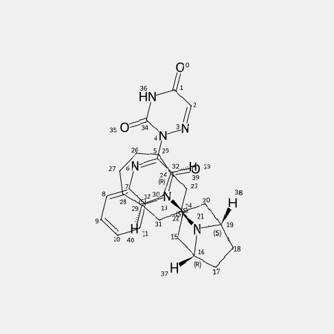 O=c1cnn(-c2nc3ccccc3n([C@@H]3C[C@H]4CC[C@@H](C3)N4[C@@H]3C[C@@H]4CCCC[C@@H](C4)C3)c2=O)c(=O)[nH]1